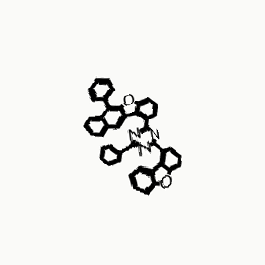 c1ccc(-c2nc(-c3cccc4oc5ccccc5c34)nc(-c3cccc4oc5c(-c6ccccc6)c6ccccc6cc5c34)n2)cc1